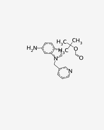 CC(C)(C)OC=O.Nc1ccc2ccn(Cc3cccnc3)c2c1